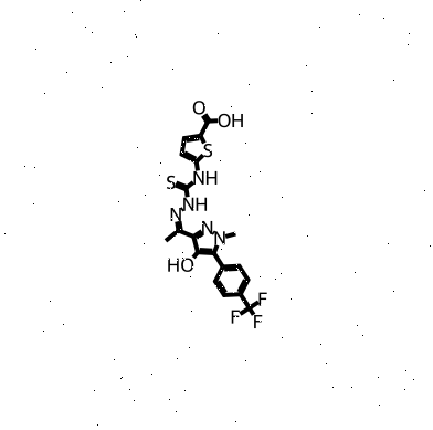 C/C(=N/NC(=S)Nc1ccc(C(=O)O)s1)c1nn(C)c(-c2ccc(C(F)(F)F)cc2)c1O